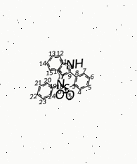 O=S1(=O)c2ccccc2-c2[nH]c3ccccc3c2N1c1ccccc1